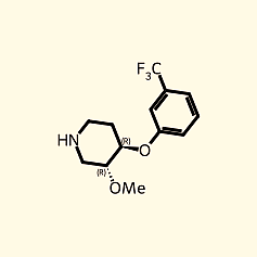 CO[C@@H]1CNCC[C@H]1Oc1cccc(C(F)(F)F)c1